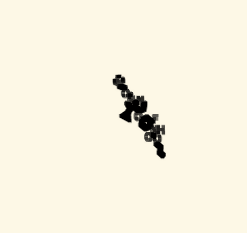 CCCCOC(=O)Nc1ccc(Oc2ccnc3c2c(C2CC2)cn3COCC[Si](C)(C)C)cc1F